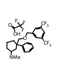 CNC1CCCC(COCc2cc(C(F)(F)F)cc(C(F)(F)F)c2)(c2ccccc2)C1.O=C(O)C(F)(F)F